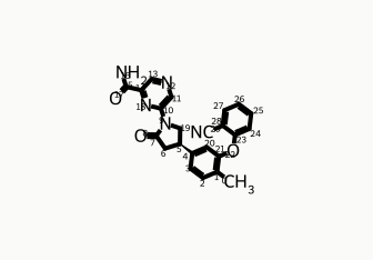 Cc1ccc([C@H]2CC(=O)N(c3cncc(C(N)=O)n3)C2)cc1Oc1ccccc1C#N